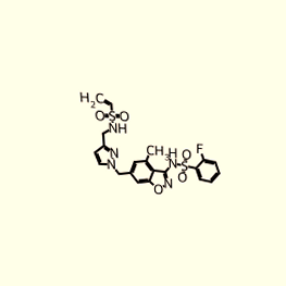 C=CS(=O)(=O)NCc1ccn(Cc2cc(C)c3c(NS(=O)(=O)c4ccccc4F)noc3c2)n1